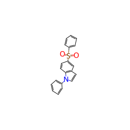 O=S(=O)(c1ccccc1)c1ccc2c(ccn2-c2ccccc2)c1